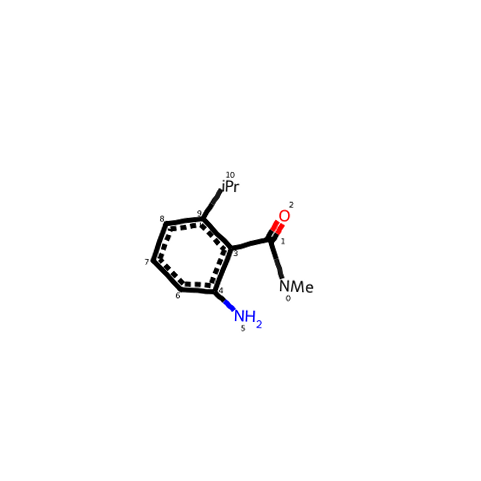 CNC(=O)c1c(N)cccc1C(C)C